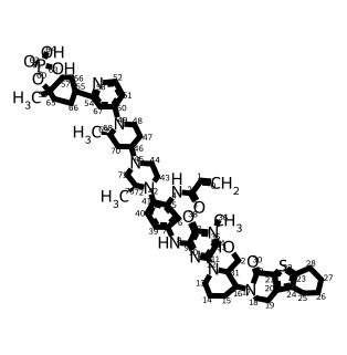 C=CC(=O)Nc1cc(Nc2nc(N3CCCC(N4CCc5c(sc6c5CCCC6)C4=O)C3CO)cn(C)c2=O)ccc1N1CCN(C2CCN(c3ccnc(C4CCC(C)(OP(=O)(O)O)CC4)c3)[C@H](C)C2)C[C@@H]1C